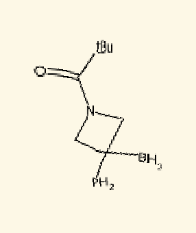 BC1(P)CN(C(=O)C(C)(C)C)C1